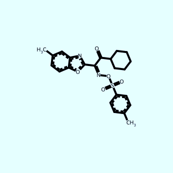 Cc1ccc(S(=O)(=O)O/N=C(\C(=O)C2CCCCC2)c2nc3cc(C)ccc3o2)cc1